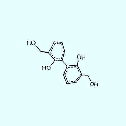 OCc1cccc(-c2cccc(CO)c2O)c1O